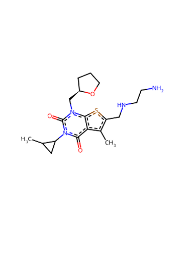 Cc1c(CNCCN)sc2c1c(=O)n(C1CC1C)c(=O)n2C[C@H]1CCCO1